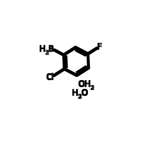 Bc1cc(F)ccc1Cl.O.O